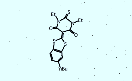 CCCCc1ccc2c(c1)SC(=C1C(=O)N(CC)C(=S)N(CC)C1=O)S2